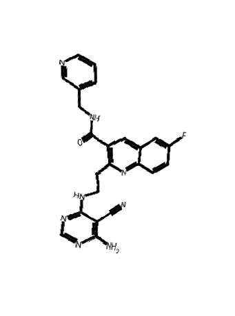 N#Cc1c(N)ncnc1NCCc1nc2ccc(F)cc2cc1C(=O)NCc1cccnc1